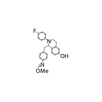 CO/C=N/c1ccc(CC2c3ccc(O)cc3CCN2c2ccc(F)cc2)cc1